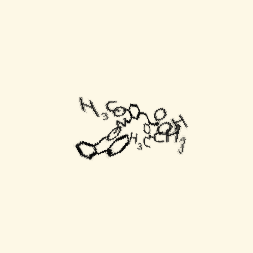 COc1ccc(CC(OC(C)C)C(=O)O)cc1C=NOCc1ccccc1-c1ccccc1